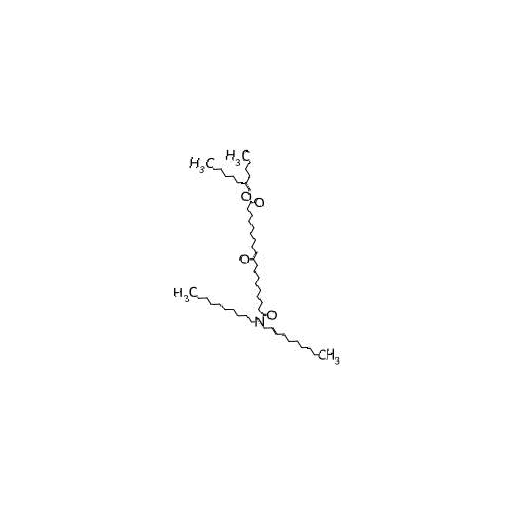 CCCCCCCCCCN(CCCCCCCCCC)C(=O)CCCCCCCCC(=O)CCCCCCCCC(=O)OCC(CCCC)CCCCCC